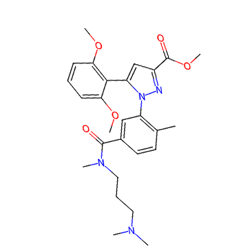 COC(=O)c1cc(-c2c(OC)cccc2OC)n(-c2cc(C(=O)N(C)CCCN(C)C)ccc2C)n1